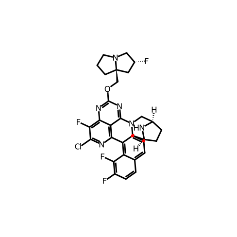 Fc1ccc2cccc(-c3nc(Cl)c(F)c4nc(OC[C@@]56CCCN5C[C@H](F)C6)nc(N5C[C@H]6CC[C@@H](C5)N6)c34)c2c1F